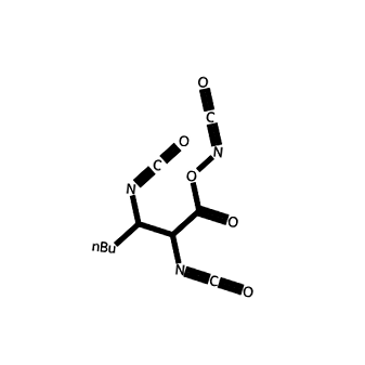 CCCCC(N=C=O)C(N=C=O)C(=O)ON=C=O